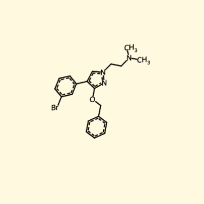 CN(C)CCn1cc(-c2cccc(Br)c2)c(OCc2ccccc2)n1